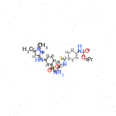 Cc1nc(C2CCC(NC(=O)OC(C)C)CC2)sc1-c1ccc(Nc2cc(C)n(C)n2)cc1S(N)(=O)=O